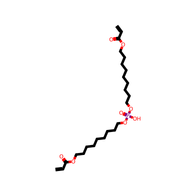 C=CC(=O)OCCCCCCCCCOP(=O)(O)OCCCCCCCCCOC(=O)C=C